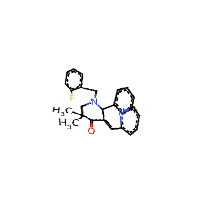 CC1(C)CN(Cc2ccccc2F)C(c2ccccc2)/C(=C\c2ccccn2)C1=O